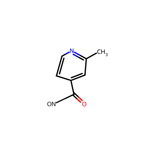 Cc1cc(C(=O)N=O)ccn1